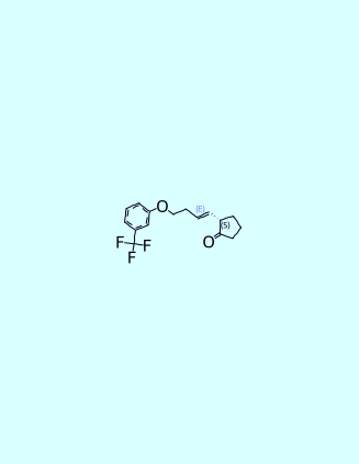 O=C1CCC[C@H]1/C=C/CCOc1cccc(C(F)(F)F)c1